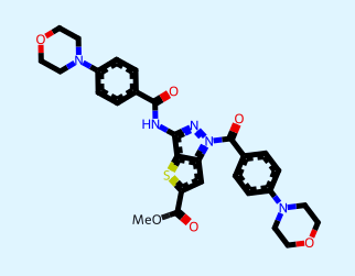 COC(=O)c1cc2c(s1)c(NC(=O)c1ccc(N3CCOCC3)cc1)nn2C(=O)c1ccc(N2CCOCC2)cc1